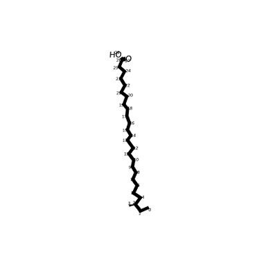 CC[C@@H](C)CCCCCCCCCCCCCCCCCCCCCCC(=O)O